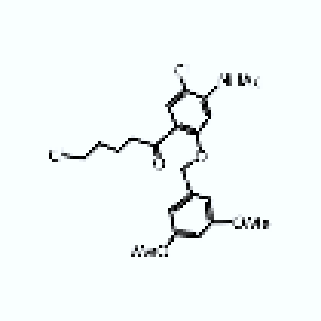 COc1cc(COc2cc(NC(C)=O)c(Cl)cc2C(=O)CCCCCl)cc(OC)c1